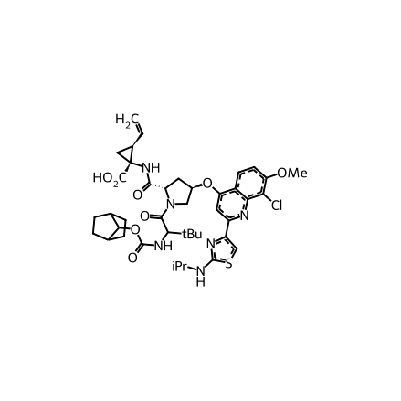 C=C[C@@H]1C[C@]1(NC(=O)[C@@H]1C[C@@H](Oc2cc(-c3csc(NC(C)C)n3)nc3c(Cl)c(OC)ccc23)CN1C(=O)C(NC(=O)OC1C2CCC1CC2)C(C)(C)C)C(=O)O